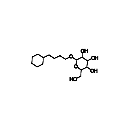 OCC1OC(OCCCCC2CCCCC2)C(O)C(O)C1O